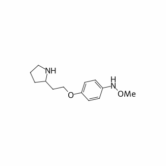 CONc1ccc(OCCC2CCCN2)cc1